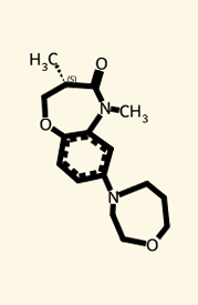 C[C@H]1COc2ccc(N3CCCOCC3)cc2N(C)C1=O